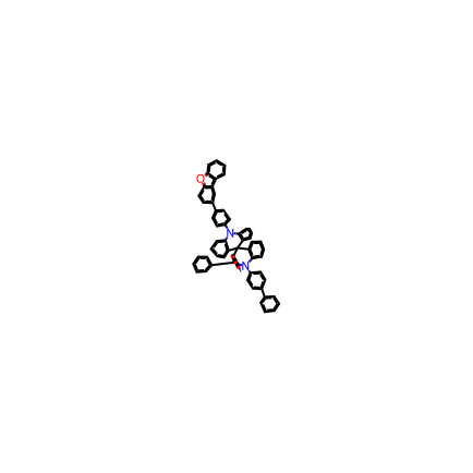 c1ccc(-c2ccc(N3c4ccccc4C4(c5ccccc5N(c5ccc(-c6ccc7oc8ccccc8c7c6)cc5)c5ccccc54)c4cc(-c5ccccc5)ccc43)cc2)cc1